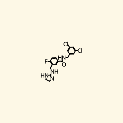 O=C(NCc1cc(Cl)cc(Cl)c1)c1ccc(F)c(CNC2=NCCN2)c1